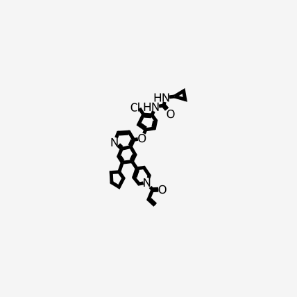 C=CC(=O)N1CC=C(c2cc3c(Oc4ccc(NC(=O)NC5CC5)c(Cl)c4)ccnc3cc2C2CCCC2)CC1